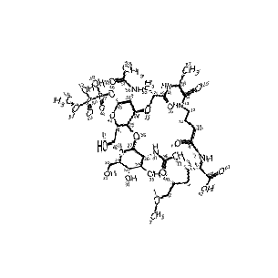 COCCCC[C@H](NC(=O)CCCNC(=O)[C@H](C)NC(=O)[C@@H](C)O[C@H]1C(O[C@@H]2O[C@H](CO)[C@@H](O)[C@H](O)[C@H]2NC(C)=O)[C@@H](CO)O[C@H](OP(=O)(O)P(=O)(O)OC)[C@@H]1NC(C)=O)C(=O)O